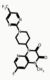 Cn1c(=O)c(=O)n(C2CCN(c3ncc(C(F)(F)F)cn3)CC2)c2ncc(F)cc21